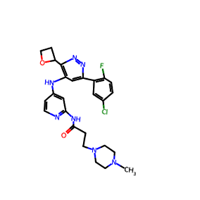 CN1CCN(CCC(=O)Nc2cc(Nc3cc(-c4cc(Cl)ccc4F)nnc3C3CCO3)ccn2)CC1